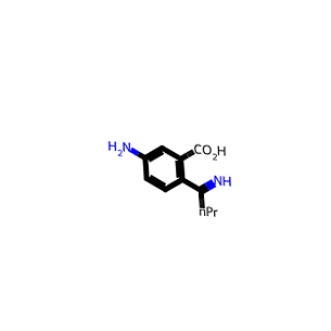 CCCC(=N)c1ccc(N)cc1C(=O)O